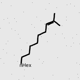 CCCCCCCCCCCC[C]=C(C)C